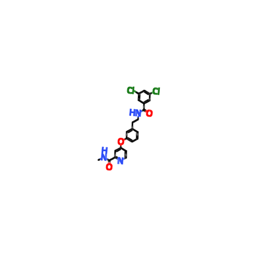 CNC(=O)c1cc(Oc2cccc(CCNC(=O)c3cc(Cl)cc(Cl)c3)c2)ccn1